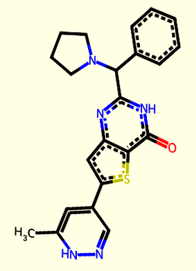 CC1=C=C(c2cc3nc(C(c4ccccc4)N4CCCC4)[nH]c(=O)c3s2)C=NN1